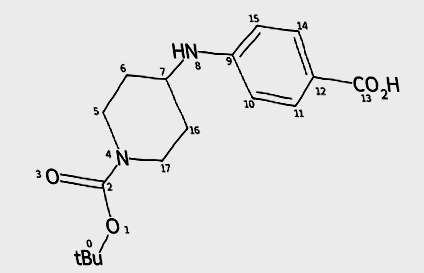 CC(C)(C)OC(=O)N1CCC(Nc2ccc(C(=O)O)cc2)CC1